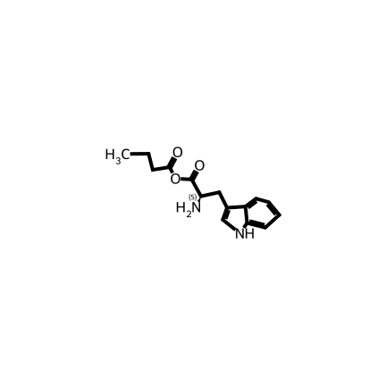 CCCC(=O)OC(=O)[C@@H](N)Cc1c[nH]c2ccccc12